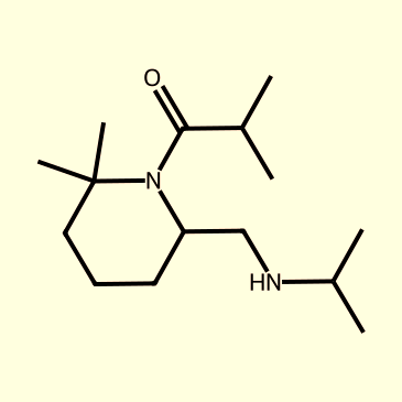 CC(C)NCC1CCCC(C)(C)N1C(=O)C(C)C